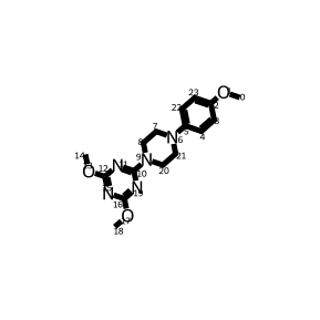 COc1ccc(N2CCN(c3nc(OC)nc(OC)n3)CC2)cc1